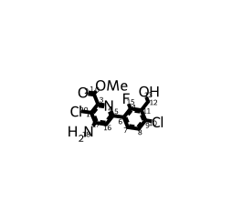 COC(=O)c1nc(-c2ccc(Cl)c(CO)c2F)cc(N)c1Cl